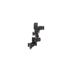 O=C(NCc1nc2cc(F)c(F)cc2[nH]1)C12CC(NC[C@H]3C[C@@H](O)c4cc(Cl)ccc4O3)(C1)C2